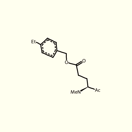 CCc1ccc(COC(=O)CC[C@H](NC)C(C)=O)cc1